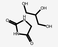 O=C1CNC(=O)N1.OCC(O)CO